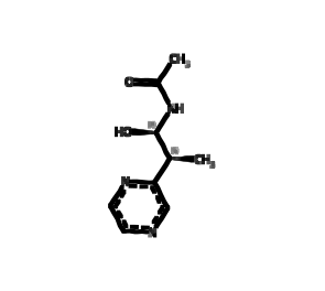 CC(=O)N[C@H](O)[C@@H](C)c1cnccn1